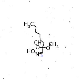 CCCCCCC(/C=N\O)(OC)OC